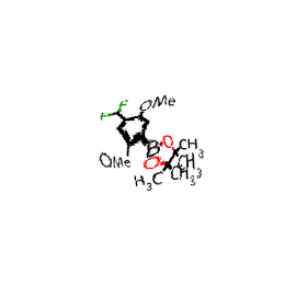 COc1cc(C(F)F)c(OC)cc1B1OC(C)(C)C(C)(C)O1